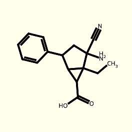 CCC12C(C(=O)O)C1C(c1ccccc1)CC2(N)C#N